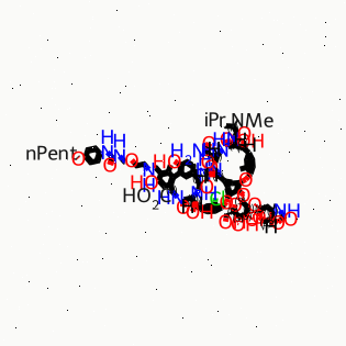 CCCCCOc1ccc(NC(=O)NCOCCNCc2c(O)cc3c(c2C)-c2cc(ccc2O)[C@H]2NC(=O)[C@@H]4NC(=O)[C@H](CC(N)=O)NC(=O)[C@H](NC(=O)[C@@H](CC(C)C)NC)[C@H](O)c5ccc(c(C)c5)Oc5cc4cc(c5O[C@@H]4O[C@H](CO)[C@@H](O)[C@H](O)[C@H]4O[C@H]4C[C@]5(C)NC(=O)O[C@@H]5[C@H](C)O4)Oc4ccc(cc4Cl)[C@@H](O)[C@H](NC2=O)C(=O)N[C@@H]3C(=O)O)cc1